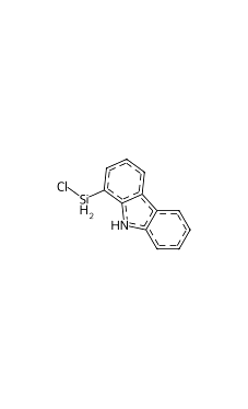 Cl[SiH2]c1cccc2c1[nH]c1ccccc12